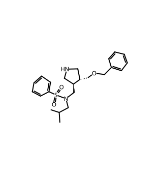 CC(C)CN(C[C@H]1CNC[C@@H]1COCc1ccccc1)S(=O)(=O)c1ccccc1